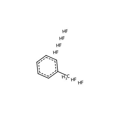 Cc1ccccc1.F.F.F.F.F.F